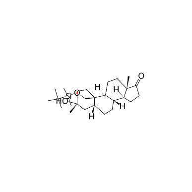 CC(C)(C)[Si](C)(C)OC[C@]12CC[C@@](C)(O)C[C@H]1CC[C@@H]1[C@@H]2CC[C@]2(C)C(=O)CC[C@@H]12